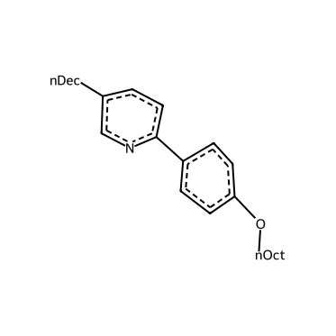 CCCCCCCCCCc1ccc(-c2ccc(OCCCCCCCC)cc2)nc1